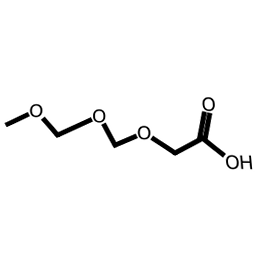 COCOCOCC(=O)O